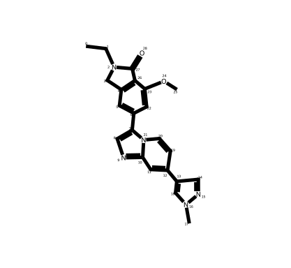 CCN1Cc2cc(-c3cnc4cc(-c5cnn(C)c5)ccn34)cc(OC)c2C1=O